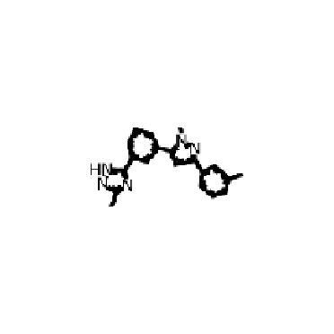 Cc1cccc(-c2cc(-c3cccc(-c4nc(C)n[nH]4)c3)n(C)n2)c1